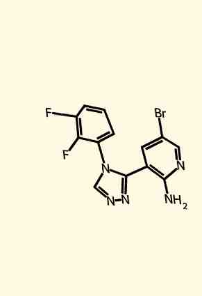 Nc1ncc(Br)cc1-c1nncn1-c1cccc(F)c1F